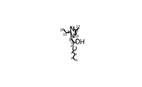 CCCCOCC(O)Cn1cc(C)nc1CC